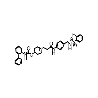 O=C(CCN1CCC(OC(=O)Nc2ccccc2-c2ccccc2)CC1)Nc1ccc(CNS(=O)(=O)c2ccccc2F)cc1